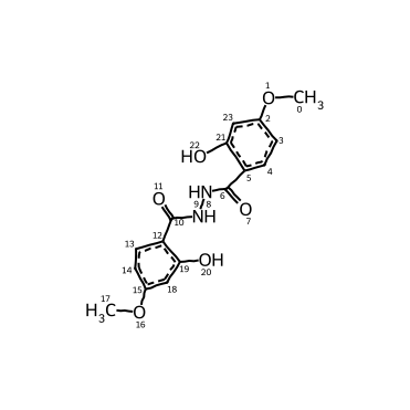 COc1ccc(C(=O)NNC(=O)c2ccc(OC)cc2O)c(O)c1